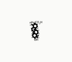 CCCC1(C(=O)O)CC[C@]2(C)C(CCC3C4(C)CCC(O)C(C)(C)C4CCC32C)C1C